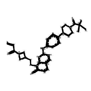 C=CC(=O)N1CC(CCn2c(=O)ccc3cnc(Nc4ccc(N5CCN(C(=O)C(C)(C)C)CC5)cc4)nc32)C1